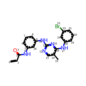 C=CC(=O)Nc1cccc(Nc2ncc(C)c(Nc3cccc(Br)c3)n2)c1